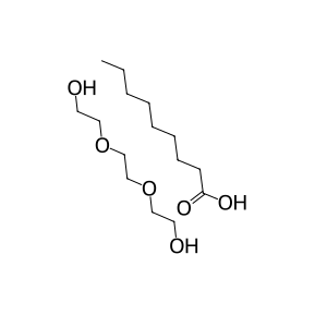 CCCCCCCCC(=O)O.OCCOCCOCCO